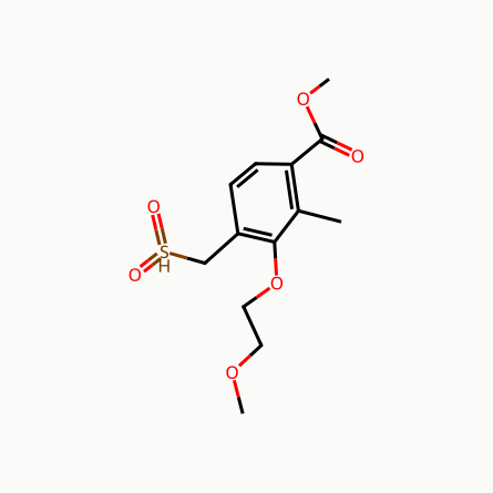 COCCOc1c(C[SH](=O)=O)ccc(C(=O)OC)c1C